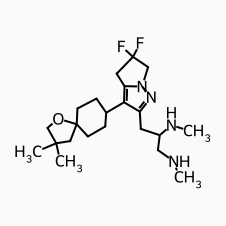 CNCC(Cc1nn2c(c1C1CCC3(CC1)CC(C)(C)CO3)CC(F)(F)C2)NC